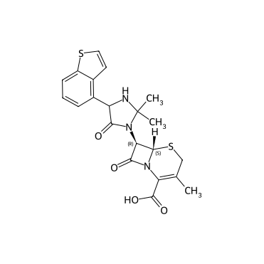 CC1=C(C(=O)O)N2C(=O)[C@@H](N3C(=O)C(c4cccc5sccc45)NC3(C)C)[C@@H]2SC1